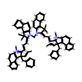 C/C=C/C1(Cc2ccccc2)C(/C=C/C=C2/N(CN3/C(=C/C=C/C4=[N+](C)c5ccc6ccccc6c5C4(/C=C/C)Cc4ccccc4)C(C)(C)c4c3ccc3ccccc43)c3ccc4ccccc4c3C2(C)C)=[N+](C)c2ccc3ccccc3c21